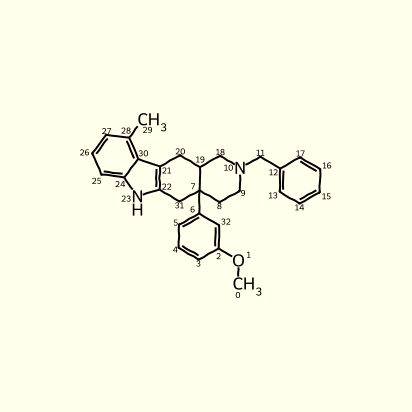 COc1cccc(C23CCN(Cc4ccccc4)CC2Cc2c([nH]c4cccc(C)c24)C3)c1